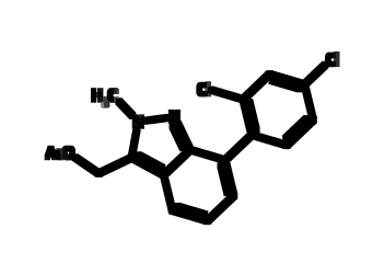 CC(=O)OCc1c2cccc(-c3ccc(Cl)cc3Cl)c2nn1C